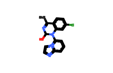 CNC1=NC(O)N(c2cccc3nccn23)c2cc(Cl)ccc21